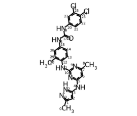 Cc1cc(Nc2cc(C)nc(Nc3ccc(NC(=O)Nc4ccc(Cl)c(Cl)c4)cc3C)n2)[nH]n1